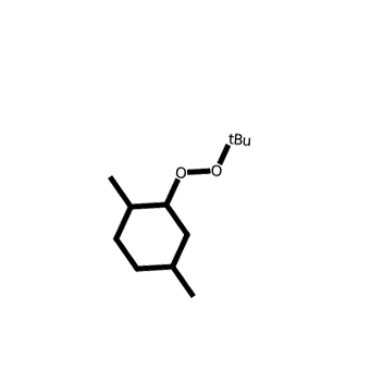 CC1CCC(C)C(OOC(C)(C)C)C1